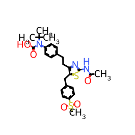 CC(=O)Nc1nc(CCc2ccc(N(C(=O)O)C(C)(C)C)cc2)c(Cc2ccc(S(C)(=O)=O)cc2)s1